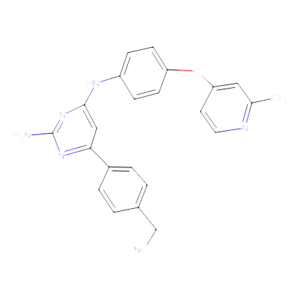 N#CCc1ccc(-c2cc(Nc3ccc(Oc4ccnc(C(F)(F)F)c4)cc3)nc(N)n2)cc1